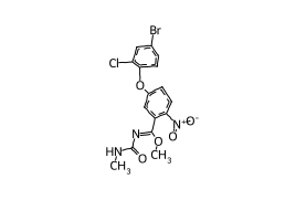 CNC(=O)N=C(OC)c1cc(Oc2ccc(Br)cc2Cl)ccc1[N+](=O)[O-]